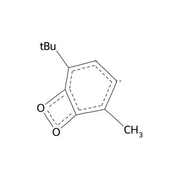 Cc1[c]cc(C(C)(C)C)c2ooc12